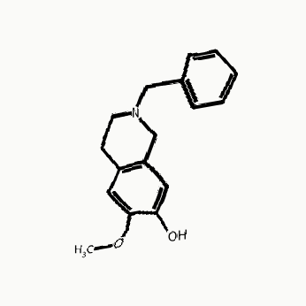 COc1cc2c(cc1O)CN(Cc1ccccc1)CC2